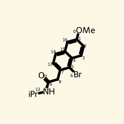 COc1ccc2c(Br)c(CC(=O)NC(C)C)ccc2c1